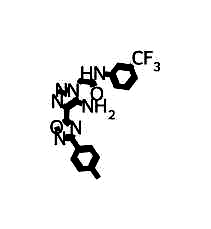 Cc1ccc(-c2noc(-c3nnn(CC(=O)Nc4cccc(C(F)(F)F)c4)c3N)n2)cc1